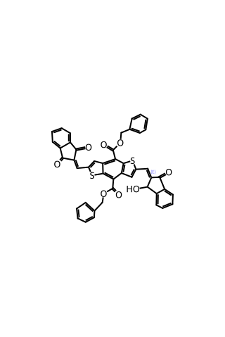 O=C1C(=Cc2cc3c(C(=O)OCc4ccccc4)c4sc(/C=C5/C(=O)c6ccccc6C5O)cc4c(C(=O)OCc4ccccc4)c3s2)C(=O)c2ccccc21